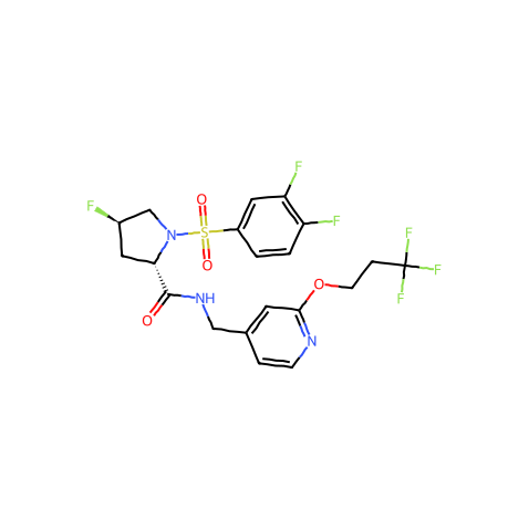 O=C(NCc1ccnc(OCCC(F)(F)F)c1)[C@@H]1C[C@@H](F)CN1S(=O)(=O)c1ccc(F)c(F)c1